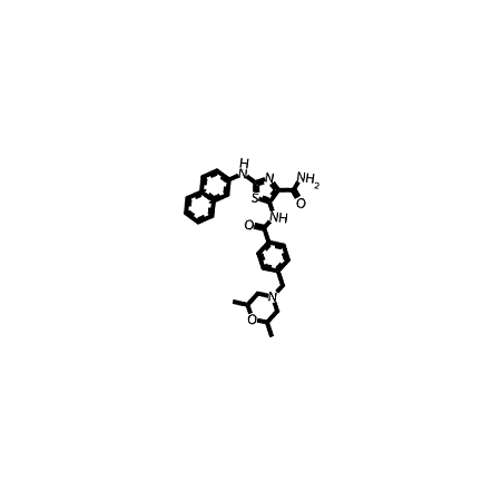 CC1CN(Cc2ccc(C(=O)Nc3sc(Nc4ccc5ccccc5c4)nc3C(N)=O)cc2)CC(C)O1